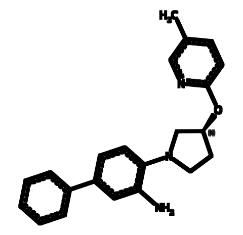 Cc1ccc(O[C@H]2CCN(c3ccc(-c4ccccc4)cc3N)C2)nc1